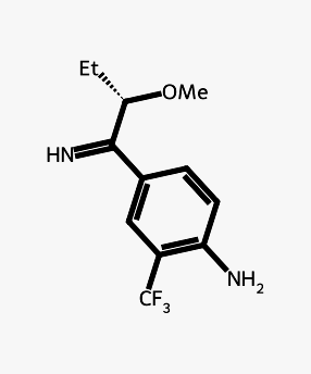 CC[C@H](OC)C(=N)c1ccc(N)c(C(F)(F)F)c1